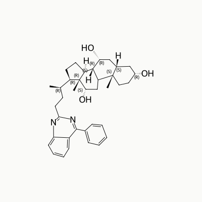 C[C@H](CCc1nc(-c2ccccc2)c2ccccc2n1)[C@H]1CC[C@H]2[C@H]3C(C[C@H](O)[C@]12C)[C@@]1(C)CC[C@@H](O)C[C@H]1C[C@H]3O